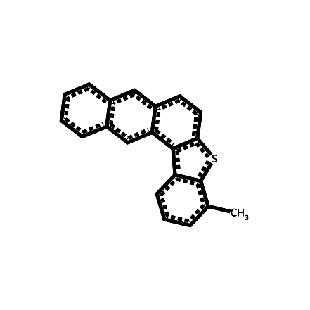 Cc1cccc2c1sc1ccc3cc4ccccc4cc3c12